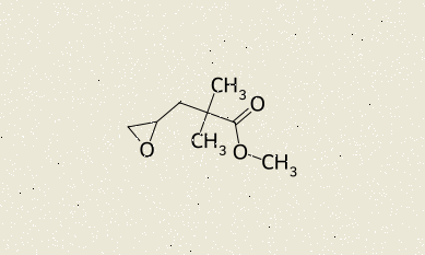 COC(=O)C(C)(C)CC1CO1